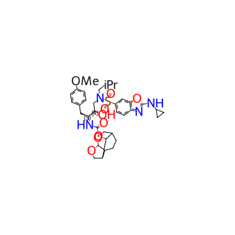 COc1ccc(C[C@H](NC(=O)OC2C3CCC4C(OC3)OCC42)[C@H](O)CN(CC(C)C)S(=O)(=O)c2ccc3nc(NC4CC4)oc3c2)cc1